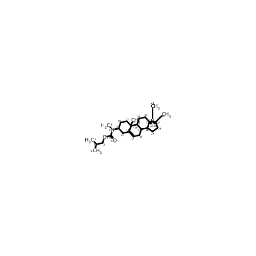 CC(C)COC(=O)N(C)C1CCC2(C)C(=CCC3C2CCC24CN(C)C(C)C2CCC34)C1